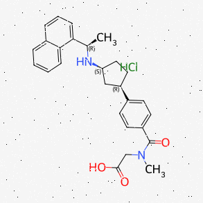 C[C@@H](N[C@H]1CC[C@@H](c2ccc(C(=O)N(C)CC(=O)O)cc2)C1)c1cccc2ccccc12.Cl